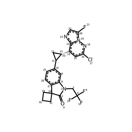 O=C1N(CC(F)(F)F)c2cc(C3C[C@@H]3c3cc(Cl)nn4c(F)cnc34)ccc2C12CCC2